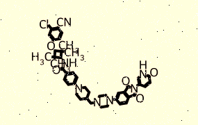 CC1(C)[C@H](NC(=O)c2ccc(N3CCC(CN4CCN(c5ccc6c(c5)C(=O)N(c5ccc(=O)[nH]c5)C6=O)CC4)CC3)cc2)C(C)(C)[C@H]1Oc1ccc(C#N)c(Cl)c1